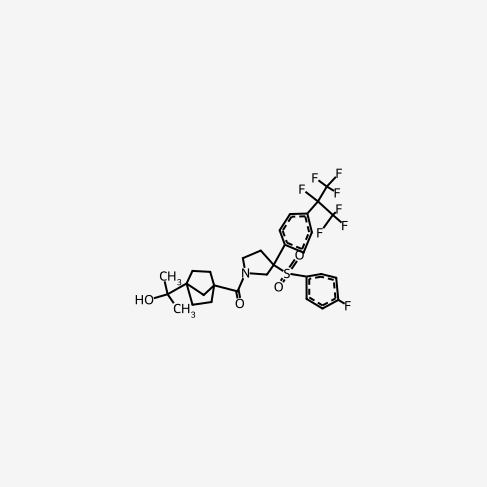 CC(C)(O)C12CCC(C(=O)N3CCC(c4ccc(C(F)(C(F)(F)F)C(F)(F)F)cc4)(S(=O)(=O)c4ccc(F)cc4)C3)(CC1)C2